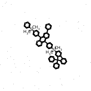 C[Si](C)(c1ccccc1)c1ccc(-c2c3ccccc3c(-c3ccc([Si](C)(C)c4ccc5c(c4)C(c4ccccc4)(c4ccccc4)c4ccccc4-5)cc3)c3ccc(-c4ccccc4)cc23)cc1